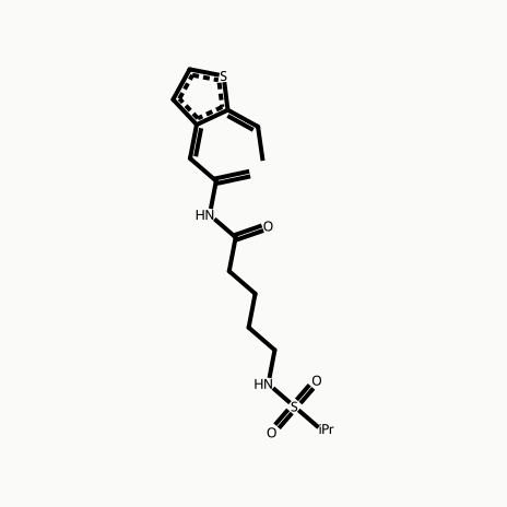 C=C(/C=c1/ccs/c1=C/C)NC(=O)CCCCNS(=O)(=O)C(C)C